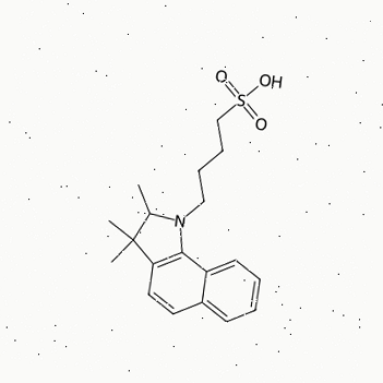 CC1N(CCCCS(=O)(=O)O)c2c(ccc3ccccc23)C1(C)C